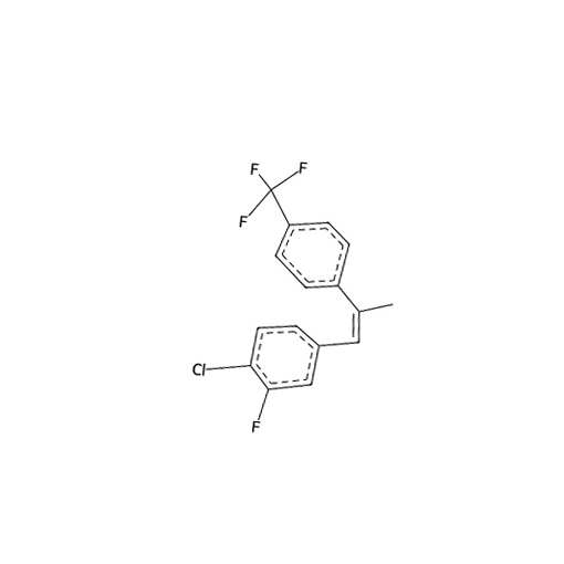 C/C(=C/c1ccc(Cl)c(F)c1)c1ccc(C(F)(F)F)cc1